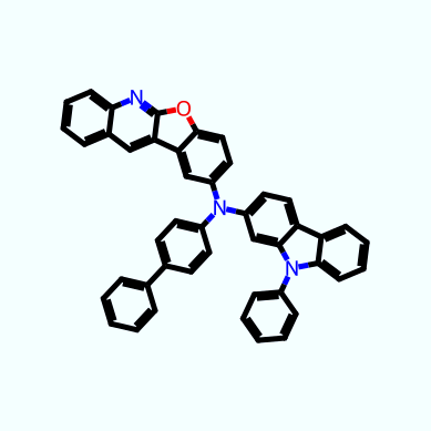 c1ccc(-c2ccc(N(c3ccc4oc5nc6ccccc6cc5c4c3)c3ccc4c5ccccc5n(-c5ccccc5)c4c3)cc2)cc1